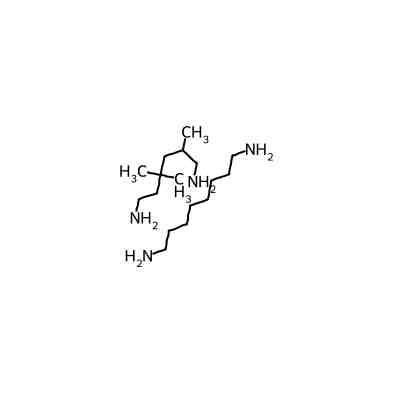 CC(CN)CC(C)(C)CCN.NCCCCCCCCN